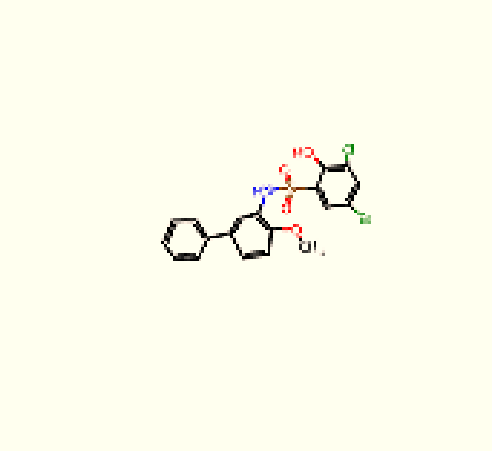 COc1ccc(-c2ccccc2)cc1NS(=O)(=O)c1cc(Br)cc(Cl)c1O